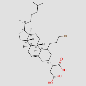 CC(C)CCC[C@@H](C)[C@H]1CC[C@H]2[C@@H]3CC=C4C[C@@H](C(CC(=O)O)C(=O)O)CC(CCCBr)[C@]4(C)[C@H]3CC[C@]12C